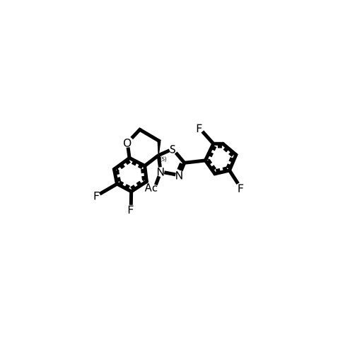 CC(=O)N1N=C(c2cc(F)ccc2F)S[C@]12CCOc1cc(F)c(F)cc12